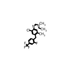 CCN(C)/C=N\c1cc(C)c(Cc2ccc(C(F)(F)F)cc2F)cc1Cl